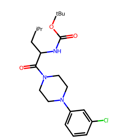 CC(C)CC(NC(=O)OC(C)(C)C)C(=O)N1CCN(c2cccc(Cl)c2)CC1